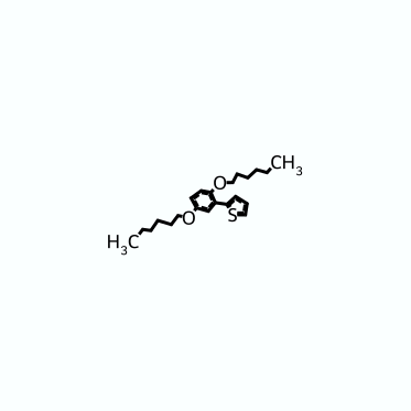 CCCCCCOc1ccc(OCCCCCC)c(-c2cccs2)c1